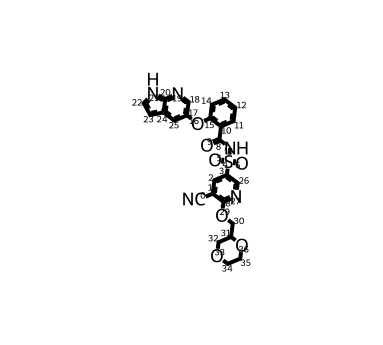 N#Cc1cc(S(=O)(=O)NC(=O)c2ccccc2Oc2cnc3[nH]ccc3c2)cnc1OCC1COCCO1